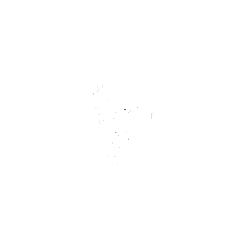 O=C(Nc1cccc(F)c1)c1cc(C(F)(F)F)cnc1Oc1ccc(OC(F)(F)F)cc1Cl